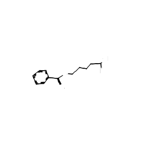 O=C(SCCCCC(F)C(F)(F)F)c1ccccc1